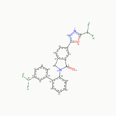 O=C1c2cc(-c3nnc(C(F)F)o3)ccc2CN1c1ccccc1-c1cccc(C(F)F)c1